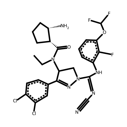 CCN(C(=O)[C@@H]1CCC[C@@H]1N)C1CN(/C(=N\C#N)Nc2cccc(OC(F)F)c2F)N=C1c1ccc(Cl)c(Cl)c1